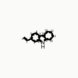 [CH]=Cc1ccc2c(c1)[nH]c1c[c]ccc12